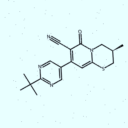 C[C@H]1CSc2cc(-c3cnc(C(C)(C)C)nc3)c(C#N)c(=O)n2C1